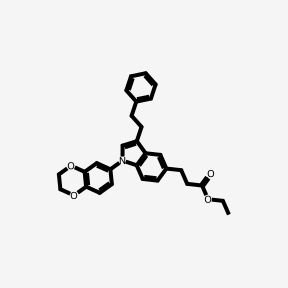 CCOC(=O)CCc1ccc2c(c1)c(CCc1ccccc1)cn2-c1ccc2c(c1)OCCO2